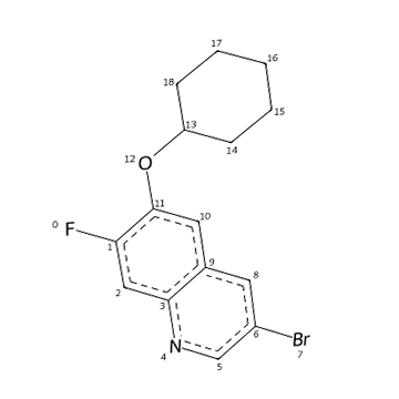 Fc1cc2ncc(Br)cc2cc1OC1CCCCC1